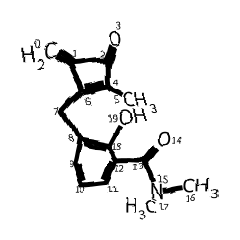 C=C1C(=O)C(C)=C1Cc1cccc(C(=O)N(C)C)c1O